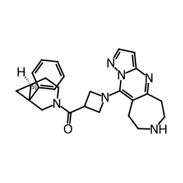 O=C(C1CN(c2c3c(nc4ccnn24)CCNCC3)C1)N1CC[C@@H]2CC2(c2ccccc2)C1